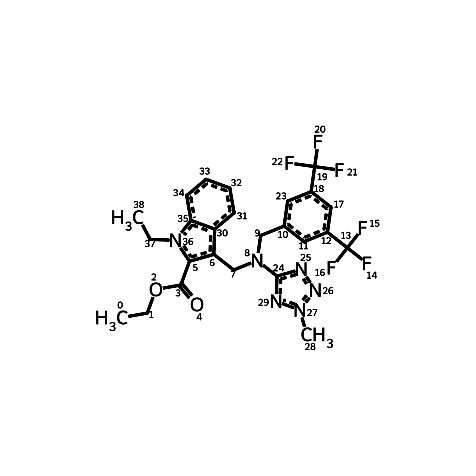 CCOC(=O)c1c(CN(Cc2cc(C(F)(F)F)cc(C(F)(F)F)c2)c2nnn(C)n2)c2ccccc2n1CC